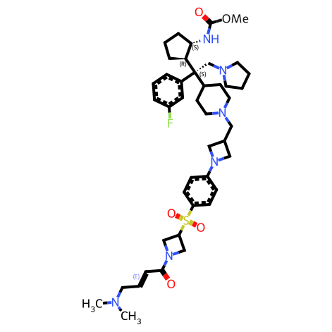 COC(=O)N[C@H]1CCC[C@@H]1[C@](CN1CCCC1)(c1cccc(F)c1)C1CCN(CC2CN(c3ccc(S(=O)(=O)C4CN(C(=O)/C=C/CN(C)C)C4)cc3)C2)CC1